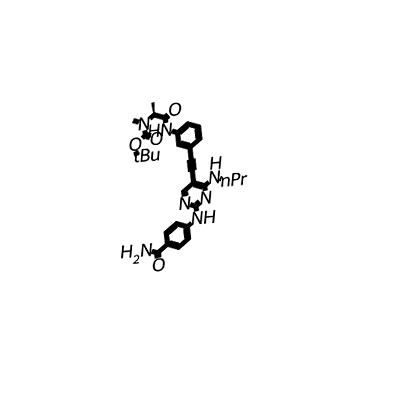 CCCNc1nc(Nc2ccc(C(N)=O)cc2)ncc1C#Cc1cccc(NC(=O)[C@H](C)N(C)C(=O)OC(C)(C)C)c1